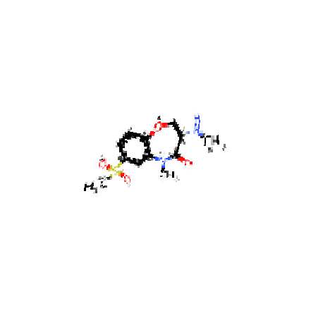 CN[C@H]1COc2ccc(S(C)(=O)=O)cc2N(C)C1=O